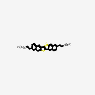 CCCCCCCCCCCCc1ccc2cc3c(cc2c1)sc1c2cc4ccc(CCCCCCCCCCCC)cc4cc2sc31